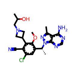 COc1c([C@@H](C)n2nc(C)c3c(N)ncnc32)cc(Cl)c(C#N)c1C1CN(CC(C)O)C1